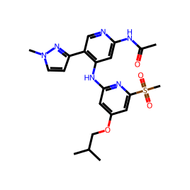 CC(=O)Nc1cc(Nc2cc(OCC(C)C)cc(S(C)(=O)=O)n2)c(-c2ccn(C)n2)cn1